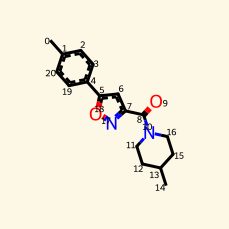 Cc1ccc(-c2cc(C(=O)N3CCC(C)CC3)no2)cc1